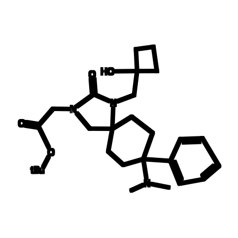 CN(C)C1(c2ccccc2)CCC2(CC1)CN(CC(=O)OC(C)(C)C)C(=O)N2CC1(O)CCC1